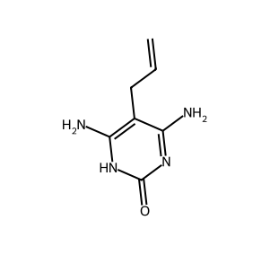 C=CCc1c(N)nc(=O)[nH]c1N